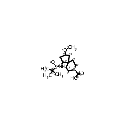 COC1CC(N[S@+]([O-])C(C)(C)C)C2(CCN(C(=O)O)CC2)C1